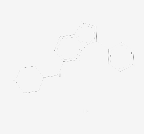 Cl.Cl.Cl.c1cc(-c2cnc3ccc(NC4CCNCC4)nn23)ccn1